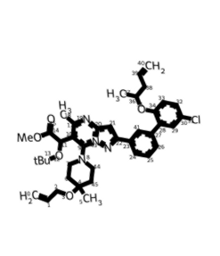 C=CCOC1(C)CCN(c2c(C(OC(C)(C)C)C(=O)OC)c(C)nc3cc(-c4cccc(-c5cc(Cl)ccc5OC(C)CC=C)c4)nn23)CC1